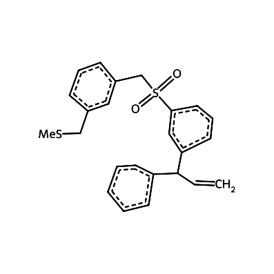 C=CC(c1ccccc1)c1cccc(S(=O)(=O)Cc2cccc(CSC)c2)c1